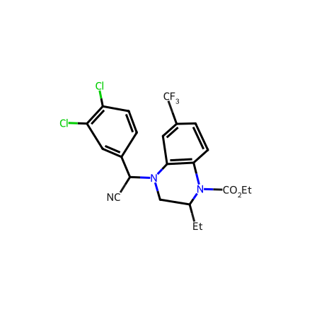 CCOC(=O)N1c2ccc(C(F)(F)F)cc2N(C(C#N)c2ccc(Cl)c(Cl)c2)CC1CC